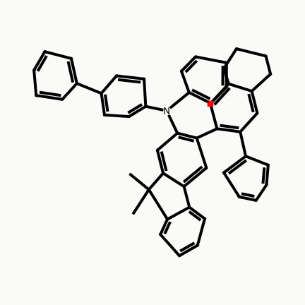 CC1(C)c2ccccc2-c2cc(-c3cc4c(cc3-c3ccccc3)CCCC4)c(N(c3ccccc3)c3ccc(-c4ccccc4)cc3)cc21